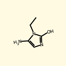 CCn1c(N)cnc1O